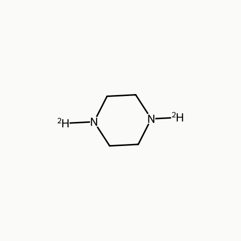 [2H]N1CCN([2H])CC1